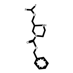 O=C(OCc1ccccc1)N1CCNC(COC(F)F)C1